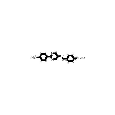 CCCCCCc1ccc(-c2ncc(OCc3ccc(CCCCC)cc3)cn2)cc1